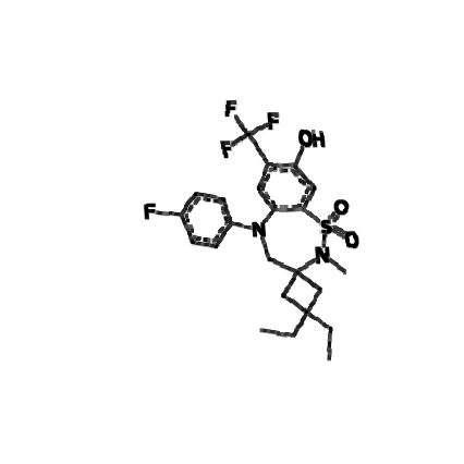 CCC1(CC)CC2(CN(c3ccc(F)cc3)c3cc(C(F)(F)F)c(O)cc3S(=O)(=O)N2C)C1